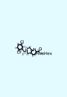 CCCCCCNC(=O)c1ccc2c(n1)CCN(Cc1cc(Cl)ccc1C(F)(F)F)C2